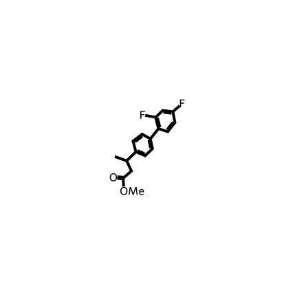 COC(=O)CC(C)c1ccc(-c2ccc(F)cc2F)cc1